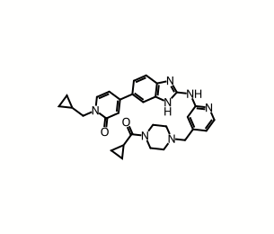 O=C(C1CC1)N1CCN(Cc2ccnc(Nc3nc4ccc(-c5ccn(CC6CC6)c(=O)c5)cc4[nH]3)c2)CC1